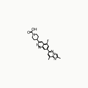 Cc1cn2nc(-c3cc(F)c4cc(C5CCN(C(=O)O)CC5)nnc4c3)cc(C)c2n1